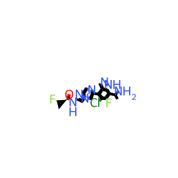 CC(N)c1c(F)c(Cl)c(-c2cn3cc(NC(=O)[C@@H]4C[C@@H]4F)nc3cn2)c2cn[nH]c12